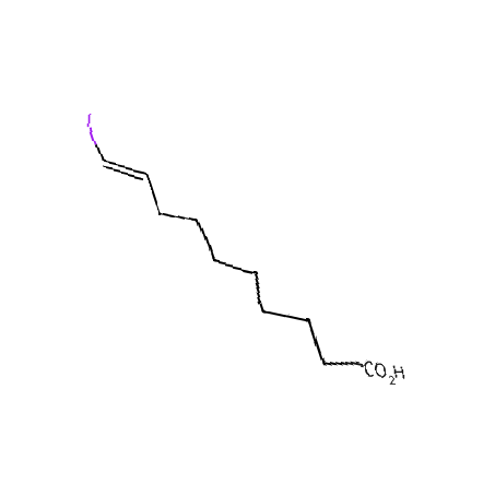 O=C(O)CCCCCCCC=CI